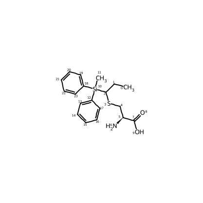 CCC(SC[C@H](N)C(=O)O)[Si](C)(c1ccccc1)c1ccccc1